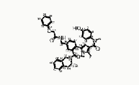 Cc1c(C(=O)N(C)c2ccc(O)cc2)cc(-c2ccc(CNC(=O)COc3ccccc3)cc2C(=O)N2Cc3ccccc3C[C@H]2C)n1C